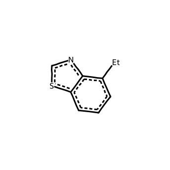 CCc1cccc2scnc12